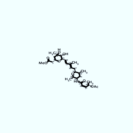 COC(=O)C[C@@H]1C[C@](C)(O)[C@H](O)[C@@H](/C=C/C(C)=C/C[C@@H]2O[C@H](C)[C@H](NC(=O)/C=C\[C@H](C)OC(C)=O)C[C@@H]2C)O1